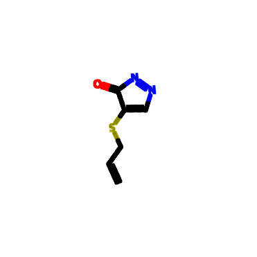 C=CCSC1=CN=NC1=O